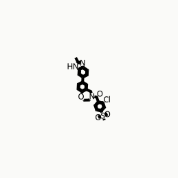 Cc1nc2ccc(-c3ccc4c(c3)CN(C(=O)c3ccc(S(C)(=O)=O)cc3Cl)CCO4)cc2[nH]1